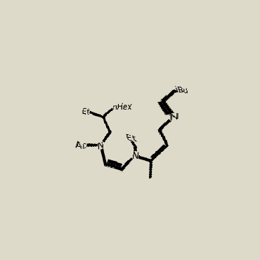 CCCCCCC(CC)CN(/C=C\N(CC)/C(C)=C\C/N=C/C(C)CC)C(C)=O